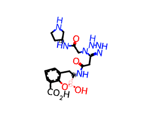 O=C(CN1NNN=C1CC(=O)N[C@H]1Cc2cccc(C(=O)O)c2OB1O)N[C@H]1CCNC1